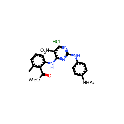 COC(=O)c1c(C)cccc1Nc1nc(Nc2ccc(NC(C)=O)cc2)ncc1[N+](=O)[O-].Cl